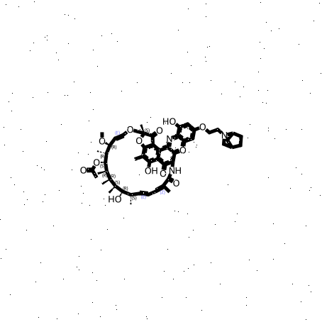 CO[C@H]1/C=C/O[C@@]2(C)Oc3c(C)c(O)c4c(=O)c(c5oc6cc(OCCN7CC8CCC7C8)cc(O)c6nc-5c4c3C2=O)NC(=O)/C(C)=C\C=C\[C@H](C)[C@H](O)[C@@H](C)[C@@H](C)[C@@H](C)[C@H](OC(C)=O)[C@@H]1C